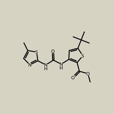 COC(=O)c1sc(C(C)(C)C)cc1NC(=O)Nc1ncc(C)s1